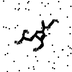 C=Cc1cc(C(=O)OC)nn1CC(C)C